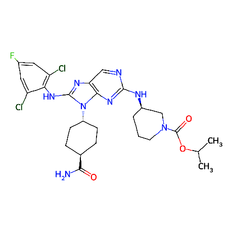 CC(C)OC(=O)N1CCC[C@@H](Nc2ncc3nc(Nc4c(Cl)cc(F)cc4Cl)n([C@H]4CC[C@H](C(N)=O)CC4)c3n2)C1